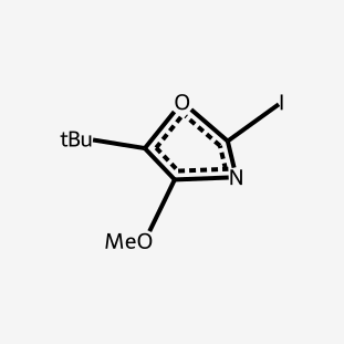 COc1nc(I)oc1C(C)(C)C